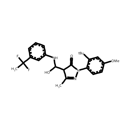 COc1ccc(N2N=C(C)C(C(O)Nc3cccc(C(C)(F)F)c3)C2=O)c(C(C)(C)C)c1